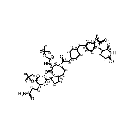 Cn1c(=O)n(C2CCC(=O)NC2=O)c2ccc(CC3CCC(CC(=O)N4CC[C@H]5CC[C@@H](C(=O)N[C@@H](CCC(N)=O)C(=O)OC(C)(C)C)N5C(=O)[C@@H](NC(=O)OC(C)(C)C)C4)CC3)cc21